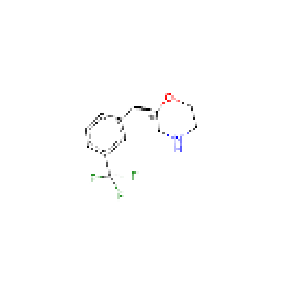 FC(F)(F)c1cccc(C[C@@H]2CNCCO2)c1